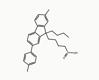 CCCCC1(CCCCS(=O)O)c2cc(C)ccc2-c2ccc(-c3ccc(C)cc3)cc21